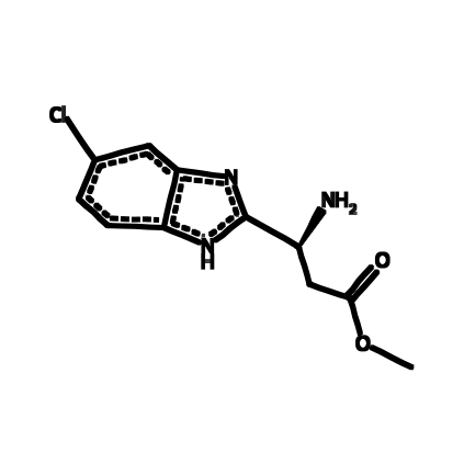 COC(=O)C[C@H](N)c1nc2cc(Cl)ccc2[nH]1